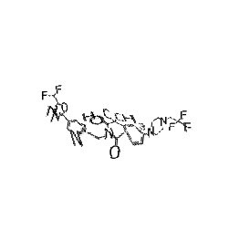 CC1(C)C(=O)N(Cc2ccc(-c3nnc(C(F)F)o3)cn2)C(=O)c2ccc(N3CCN(CC(F)(F)F)CC3)cc21